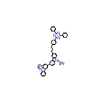 CC(C)CN1c2ccccc2C2C=C(C3C=Cc4c(c5cc(CCCC6=CC=C(c7nc(C8=CCCC=C8)nc(-c8ccccc8)n7)CC6)ccc5n4CC(C)C)C3)C=CC21